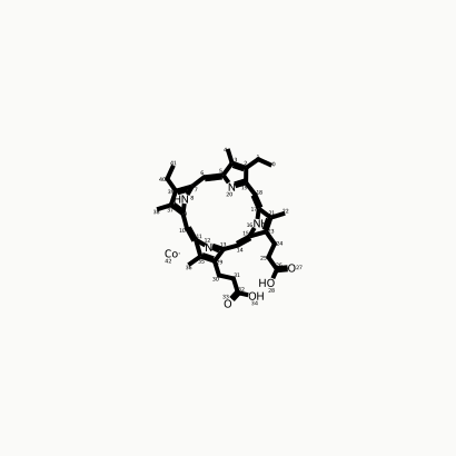 CCC1=C(C)c2cc3[nH]c(cc4nc(cc5[nH]c(cc1n2)c(C)c5CCC(=O)O)C(CCC(=O)O)=C4C)c(C)c3CC.[Co]